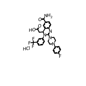 Cl.NC(=O)c1ccc2c(c1)C(CC(=O)O)N(c1cccc(C(F)(F)F)c1)C(N1CCN(c3ccc(F)cc3)CC1)=N2